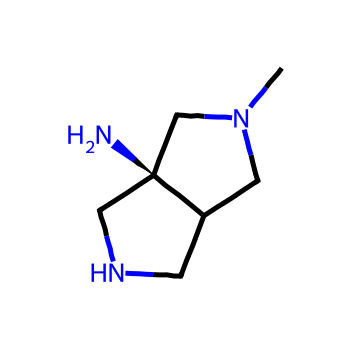 CN1CC2CNC[C@]2(N)C1